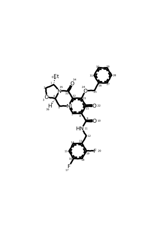 CC[C@H]1CO[C@@H]2Cn3cc(C(=O)NCc4ccc(F)cc4F)c(=O)c(OCc4ccccc4)c3C(=O)N12